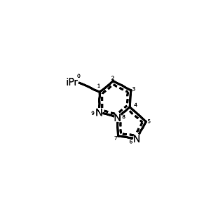 CC(C)c1ccc2cncn2n1